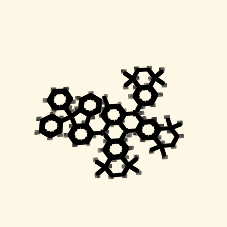 Cc1cc2c3c(c1)N(c1cccc4c1-c1ccccc1C4(c1ccccc1)c1ccccc1)c1cc4c(cc1B3c1cc3c(cc1N2c1ccc2c(c1)C(C)(C)CCC2(C)C)C(C)(C)CCC3(C)C)C(C)(C)CCC4(C)C